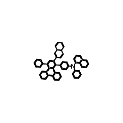 C1=CC2C=CC(c3cc(-c4ccccc4)c4c5ccccc5c5ccccc5c4c3-c3ccc(N(c4ccccc4)c4cccc5ccccc45)cc3)=CC2C=C1